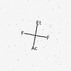 CCC(F)(F)C(C)=O